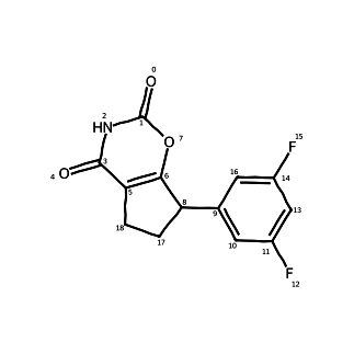 O=c1[nH]c(=O)c2c(o1)C(c1cc(F)cc(F)c1)CC2